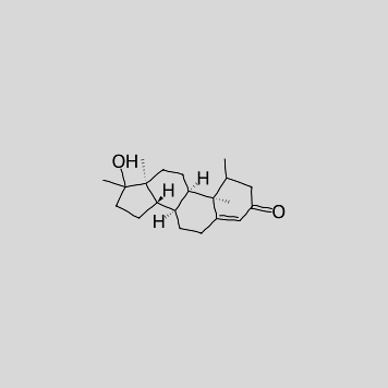 CC1CC(=O)C=C2CC[C@@H]3[C@@H](CC[C@@]4(C)[C@H]3CCC4(C)O)[C@]21C